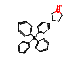 C1CC[OH+]C1.c1ccc([B-](c2ccccc2)(c2ccccc2)c2ccccc2)cc1